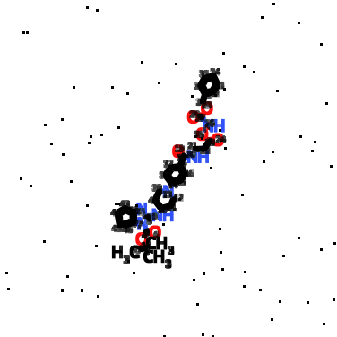 CC(C)(C)OC(=O)n1c(NC2CCN(c3ccc(C(=O)NCCC(=O)ONC(=O)OCc4ccccc4)cc3)CC2)nc2ccccc21